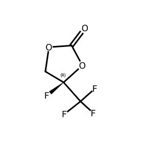 O=C1OC[C@@](F)(C(F)(F)F)O1